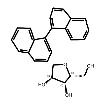 OC[C@H]1OC[C@H](O)[C@@H]1O.c1ccc2c(-c3cccc4ccccc34)cccc2c1